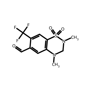 CN1CN(C)S(=O)(=O)c2cc(C(F)(F)F)c(C=O)cc21